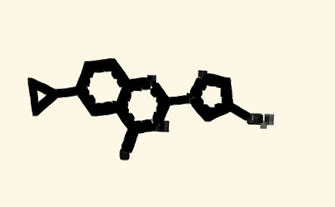 O=C(O)c1cnn(-c2nc3ccc(C4CC4)cc3c(=O)[nH]2)c1